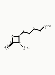 C=C1O[C@@H](CCCCCCCCCCCCC)[C@@H]1CCCCCC